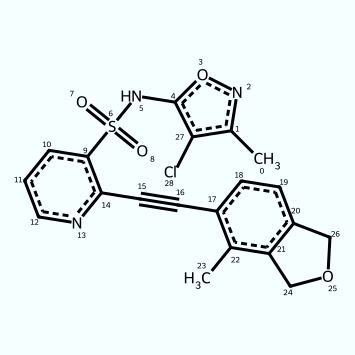 Cc1noc(NS(=O)(=O)c2cccnc2C#Cc2ccc3c(c2C)COC3)c1Cl